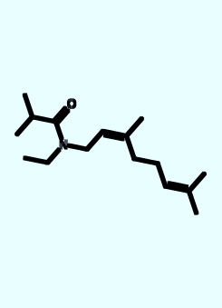 CCN(C/C=C(/C)CCC=C(C)C)C(=O)C(C)C